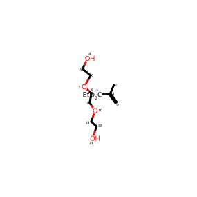 C=C(C)C(=O)OCC.OCCOCCOCCO